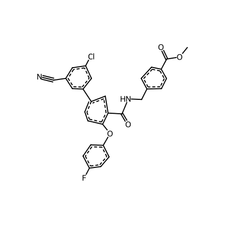 COC(=O)c1ccc(CNC(=O)c2cc(-c3cc(Cl)cc(C#N)c3)ccc2Oc2ccc(F)cc2)cc1